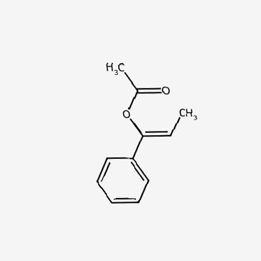 CC=C(OC(C)=O)c1ccccc1